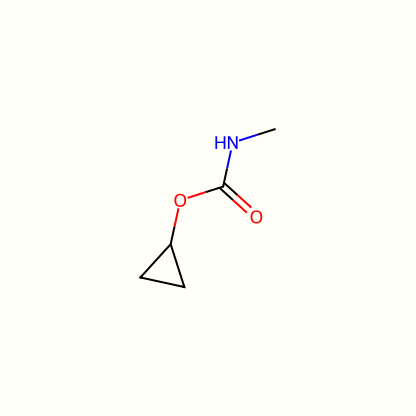 CNC(=O)OC1CC1